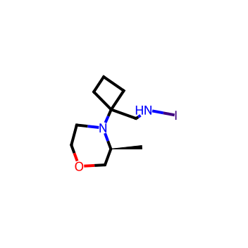 C[C@H]1COCCN1C1(CNI)CCC1